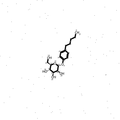 CCCCCc1ccc(O[C@H]2O[C@H](CO)[C@@H](O)[C@H](O)[C@@H]2O)cc1